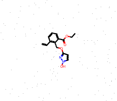 C=Cc1cccc(C(=O)OCC)c1COc1ccn(O)n1